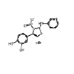 Br.O=[N+]([O-])N1C(c2ccc(O)c(O)c2)=CSC1Nc1cccnc1